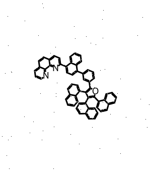 c1cc(-c2oc(-c3cccc4ccccc34)c(-c3cccc4ccccc34)c2-c2cccc3ccccc23)cc(-c2ccc(-c3ccc4ccc5cccnc5c4n3)c3ccccc23)c1